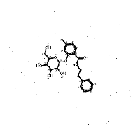 Cc1ccc(C(=O)NCCc2ccccc2)c(O[C@@H]2OC(CO)C(O)C(O)C2O)c1